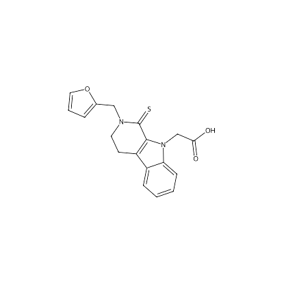 O=C(O)Cn1c2c(c3ccccc31)CCN(Cc1ccco1)C2=S